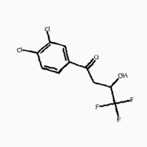 O=C(CC(O)C(F)(F)F)c1ccc(Cl)c(Cl)c1